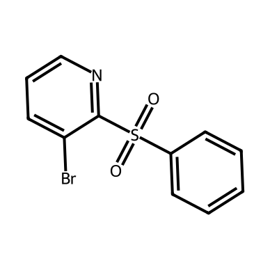 O=S(=O)(c1ccccc1)c1ncccc1Br